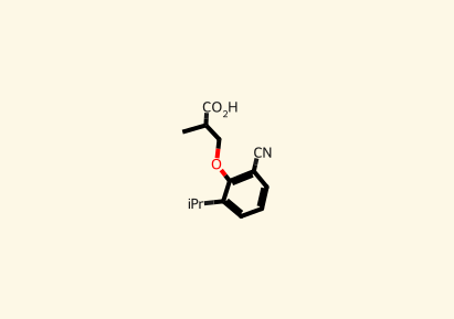 CC(COc1c(C#N)cccc1C(C)C)C(=O)O